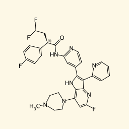 CN1CCN(c2cc(F)nc3c(-c4ccccn4)c(-c4ccnc(NC(=O)[C@H](CC(F)F)c5ccc(F)cc5)c4)[nH]c23)CC1